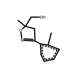 Cc1ccccc1C1=NOC(C)(CO)C1